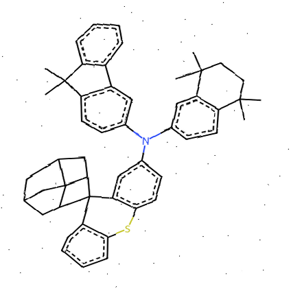 CC1(C)CCC(C)(C)c2cc(N(c3ccc4c(c3)-c3ccccc3C4(C)C)c3ccc4c(c3)C3(c5ccccc5S4)C4CC5CC6CC3C64C5)ccc21